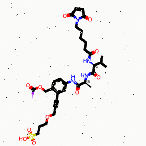 CC(C)[C@H](NC(=O)CCCCCN1C(=O)C=CC1=O)C(=O)N[C@@H](C)C(=O)Nc1ccc(COC(=O)I)c(C#CCOCCCS(=O)(=O)O)c1